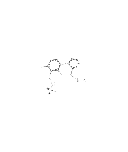 CC(=O)NCc1sccc1-c1ccc(C)c(COS(C)(=O)=O)c1C